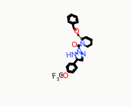 O=C(N1N=CC(c2ccc(OC(F)(F)F)cc2)N1)N1CCC=C[C@H]1COCc1ccccc1